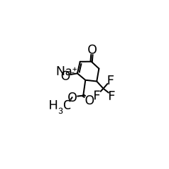 COC(=O)C1C([O-])=CC(=O)CC1C(F)(F)F.[Na+]